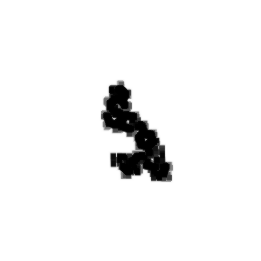 Cc1ccsc1CN1CCCC2(CCN(Cc3ccc(CN(Cc4ncc[nH]4)Cc4ncc[nH]4)cc3)CC2)C1